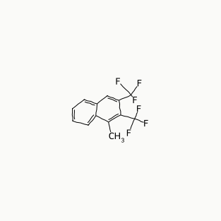 Cc1c(C(F)(F)F)c(C(F)(F)F)cc2ccccc12